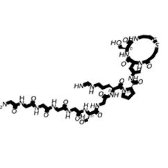 CC(CC1NC(=O)CCSSCCNC(=O)[C@H](CO)NC1=O)NC(=O)[C@@H]1CCCN1C(=O)[C@H](CCCNC=N)NC(=O)CNC(=O)[C@H](CO)NC(=O)CNC(=O)CNC(=O)CNC(=O)CNC(=O)CN